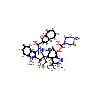 CCn1c(C(=O)C2(CCl)CNc3cc(OC(=O)N4CCN(C)CC4)c4[nH]c(C(F)(F)F)c(C(=O)O)c4c32)c(NC(=O)c2cc3ccccc3o2)c2ccccc21